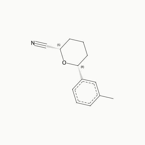 Cc1cccc([C@H]2CCC[C@@H](C#N)O2)c1